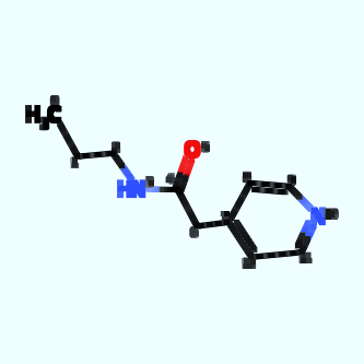 CCCNC(=O)Cc1ccncc1